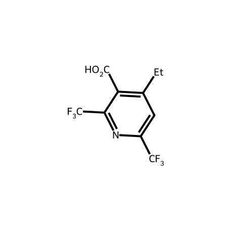 CCc1cc(C(F)(F)F)nc(C(F)(F)F)c1C(=O)O